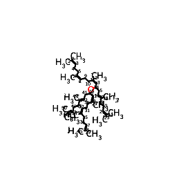 CC(C)=CCCC(C)=CCCC(C)=CC(C/C=C(\C)CCC=C(C)C)OC(C=C(C)CCC=C(C)CCC=C(C)C)C/C=C(\C)CCC=C(C)C